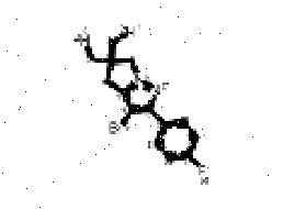 [2H]CC1(C[2H])Cc2c(Br)c(-c3ccc(F)cc3)nn2C1